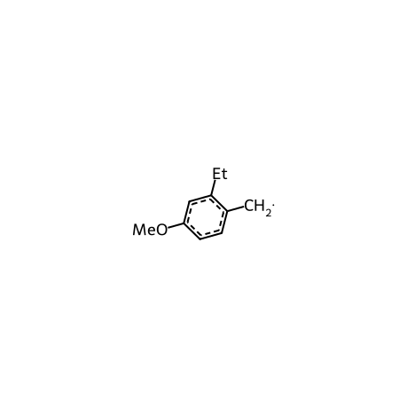 [CH2]c1ccc(OC)cc1CC